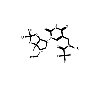 CN(Cc1cn([C@@H]2O[C@H](CO)[C@@H]3OC(C)(C)OC32)c(=O)[nH]c1=O)C(=O)C(F)(F)F